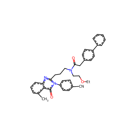 CCOCCN(CCCc1nc2cccc(C)c2c(=O)n1-c1ccc(C#N)cc1)C(=O)Cc1ccc(-c2ccccc2)cc1